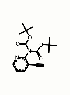 C#Cc1cccnc1N(C(=O)OC(C)(C)C)C(=O)OC(C)(C)C